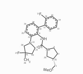 COC[C@H]1CCN(C(=O)Nc2c(-c3ccccc3F)ccnc2N2CCC(C)(F)C2)C1